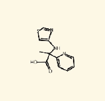 CC(Nc1cscn1)(C(=O)O)c1ccccn1